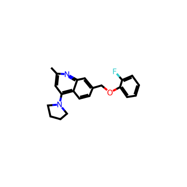 Cc1cc(N2CCCC2)c2ccc(COc3ccccc3F)cc2n1